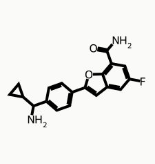 NC(=O)c1cc(F)cc2cc(-c3ccc(C(N)C4CC4)cc3)oc12